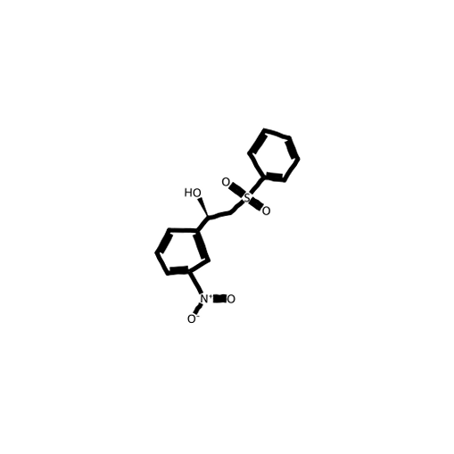 O=[N+]([O-])c1cccc([C@@H](O)CS(=O)(=O)c2ccccc2)c1